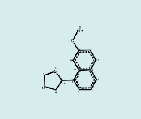 CCCOc1ccc2cccc(C3CCCS3)c2c1